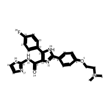 CN(C)CCOc1ccc(-c2nc(C(=O)Nc3nccs3)c(-c3ccc(F)cc3)[nH]2)cc1